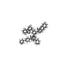 c1ccc(-c2ccc(-c3nc(-c4ccccc4)nc(-c4cc(-c5ccc6cc7ccccc7cc6n5)cc(-c5cccc6c5oc5ccccc56)c4)n3)cc2)cc1